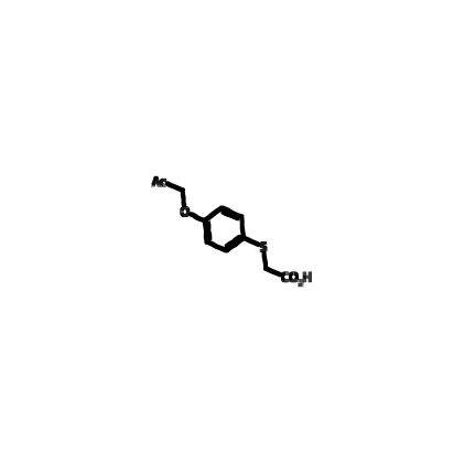 CC(=O)COc1ccc(SCC(=O)O)cc1